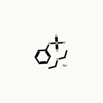 CCOCC.O=S(=O)([O-])Oc1ccccc1.[Na+]